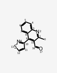 Cc1nc2ccccc2c(-c2ccsn2)c1C=O